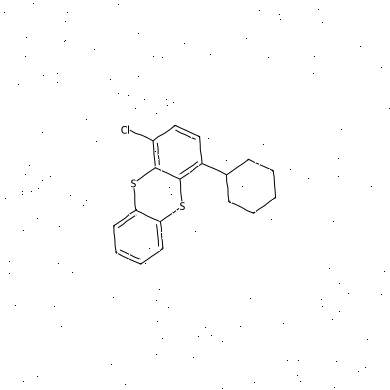 Clc1ccc(C2CCCCC2)c2c1Sc1ccccc1S2